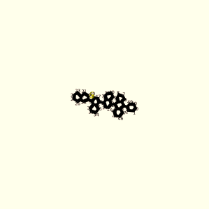 c1ccc(-c2c3ccccc3c(-c3ccc(-c4cc5sc6cc7ccccc7cc6c5c5ccccc45)c4ccccc34)c3ccccc23)cc1